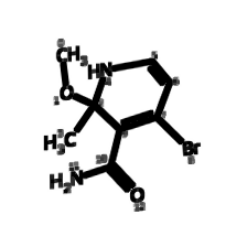 COC1(C)NC=CC(Br)=C1C(N)=O